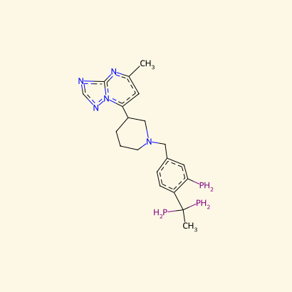 Cc1cc(C2CCCN(Cc3ccc(C(C)(P)P)c(P)c3)C2)n2ncnc2n1